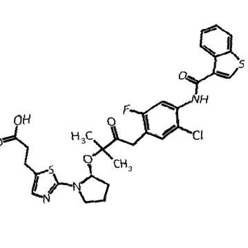 CC(C)(O[C@H]1CCCN1c1ncc(CCC(=O)O)s1)C(=O)Cc1cc(Cl)c(NC(=O)c2csc3ccccc23)cc1F